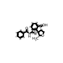 C[C@H]1OC[C@@H](CO)[C@]1(NC(=S)NC(=O)c1ccccc1)c1ccccc1F